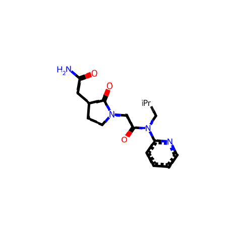 CC(C)CN(C(=O)CN1CCC(CC(N)=O)C1=O)c1ccccn1